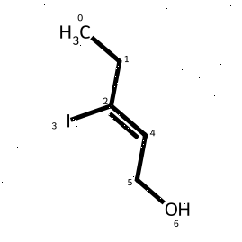 CCC(I)=CCO